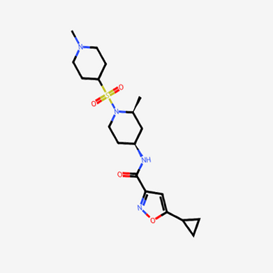 C[C@H]1C[C@@H](NC(=O)c2cc(C3CC3)on2)CCN1S(=O)(=O)C1CCN(C)CC1